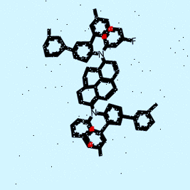 Cc1cccc(-c2ccc(N(C3=C4C=CC5=C6C(=CC=C(C=C3)C46)C(N(c3cccc(F)c3)c3ccc(-c4cccc(C)c4)cc3-c3cccc(C)c3)C=C5)c3cccc(F)c3)c(-c3cccc(C)c3)c2)c1